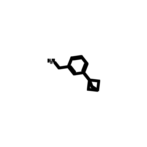 NCc1cccc(C23CC(C2)C3)c1